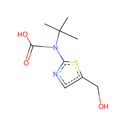 CC(C)(C)N(C(=O)O)c1ncc(CO)s1